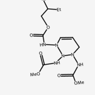 CCCCC(CC)COC(=O)NN1C=CCN(NC(=O)OC)N1NC(=O)OC